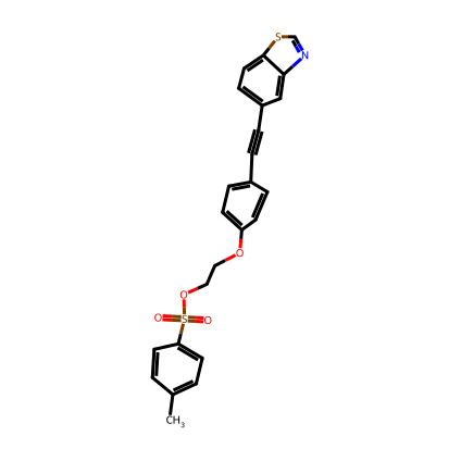 Cc1ccc(S(=O)(=O)OCCOc2ccc(C#Cc3ccc4scnc4c3)cc2)cc1